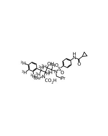 [2H]c1ccc(C([2H])([2H])[C@]([2H])(N(C(=O)O)C(C)(C)C)[C@]([2H])(O)C([2H])([2H])N(CC(C)C)S(=O)(=O)c2ccc(NC(=O)C3CC3)cc2)c([2H])c1[2H]